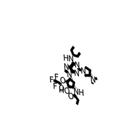 CCC(=O)N[C@H]1C[C@@H](n2cnc3c(NC(CC)CC)nc(N4CC[C@@H](N(C)C)C4)nc32)[C@H](OC(=O)C(F)(F)F)[C@@H]1O